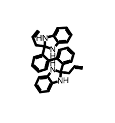 C=CCC1(c2ccccc2-c2ccccc2C2(CC=C)Nc3ccccc3N2)Nc2ccccc2N1